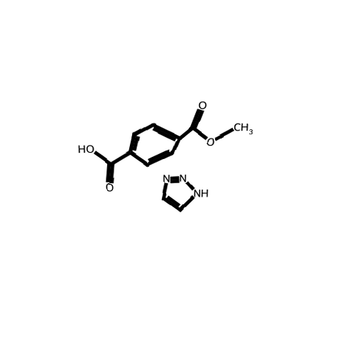 COC(=O)c1ccc(C(=O)O)cc1.c1c[nH]nn1